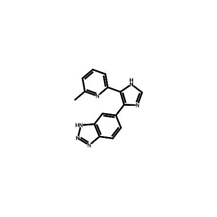 Cc1cccc(-c2[nH]cnc2-c2ccc3nn[nH]c3c2)n1